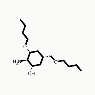 CCCCOC[C@@H]1C[C@H](O)[C@@H](N)[C@H](OCCCC)C1